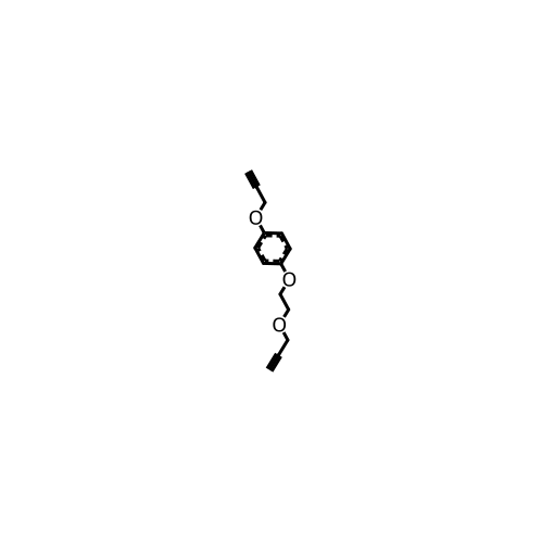 C#CCOCCOc1ccc(OCC#C)cc1